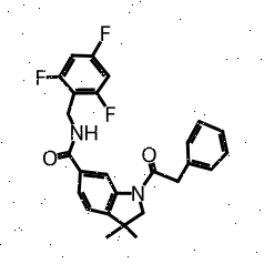 CC1(C)CN(C(=O)Cc2ccccc2)c2cc(C(=O)NCc3c(F)cc(F)cc3F)ccc21